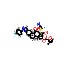 Cc1ccoc1C(=O)O[C@]1(C(=O)SCC#N)CC[C@H]2[C@@H]3CCC4=Cc5c(cnn5-c5ccc(F)cc5)C[C@]4(C)[C@H]3[C@@H](O)C[C@@]21C